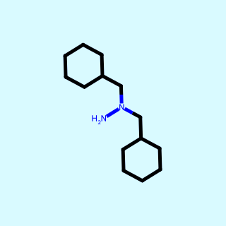 NN(CC1CCCCC1)CC1CCCCC1